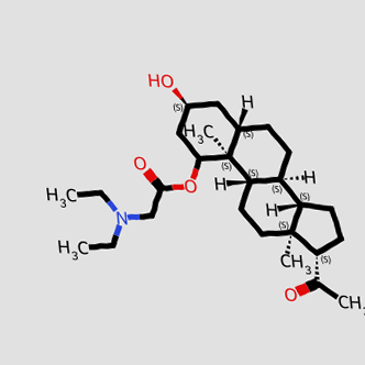 CCN(CC)CC(=O)OC1C[C@@H](O)C[C@@H]2CC[C@H]3[C@@H]4CC[C@H](C(C)=O)[C@@]4(C)CC[C@@H]3[C@@]12C